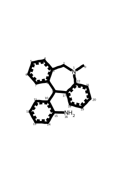 CN1Cc2ccccc2C(c2ccccc2N)c2ccccc21